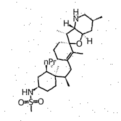 CCC[C@@H]1C[C@H](NS(C)(=O)=O)CC[C@]1(C)[C@H](C)CC1=C(C)[C@]2(CC[C@H]1C)O[C@@H]1C[C@H](C)CN[C@H]1[C@H]2C